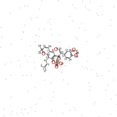 CC(C)=CCc1c2c(c3occ(-c4ccc5c(c4)OSO5)c(=O)c3c1OS(=O)(=O)F)C=CC(C)(C)O2